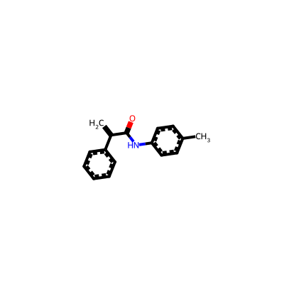 C=C(C(=O)Nc1ccc(C)cc1)c1ccccc1